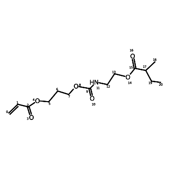 C=CC(=O)OCCCOC(=O)NCCOC(=O)C(C)CC